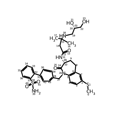 CSc1ccc2c(c1)CC[C@@H](NC(=O)CC(C)(C)NC[C@H](O)CO)C(=O)N2Cc1ccc(-c2ccccc2S(N)(=O)=O)cc1